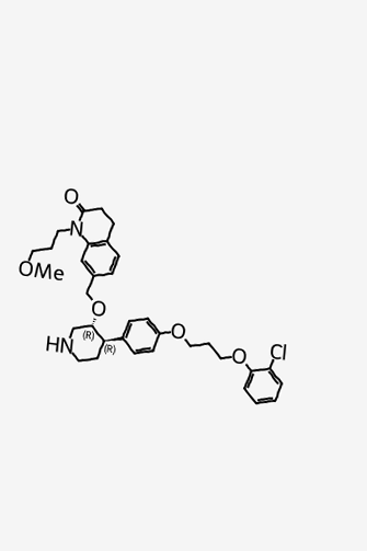 COCCCN1C(=O)CCc2ccc(CO[C@H]3CNCC[C@@H]3c3ccc(OCCCOc4ccccc4Cl)cc3)cc21